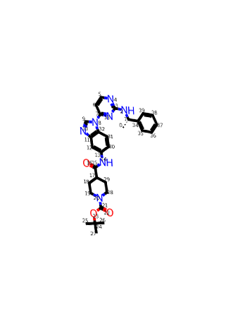 C[C@H](Nc1nccc(-n2cnc3cc(NC(=O)C4CCN(C(=O)OC(C)(C)C)CC4)ccc32)n1)c1ccccc1